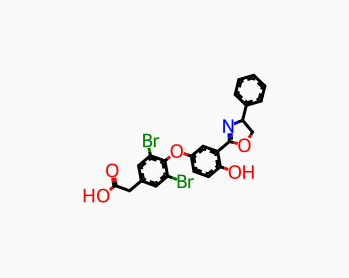 O=C(O)Cc1cc(Br)c(Oc2ccc(O)c(C3=NC(c4ccccc4)CO3)c2)c(Br)c1